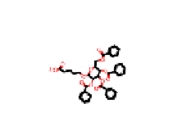 O=C(O)CCCCO[C@H]1OC(COC(=O)c2ccccc2)[C@@H](OC(=O)c2ccccc2)C(OC(=O)c2ccccc2)[C@H]1OC(=O)c1ccccc1